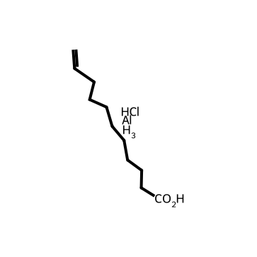 C=CCCCCCCCCC(=O)O.Cl.[AlH3]